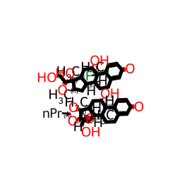 CCC[C@@H]1O[C@@H]2C[C@H]3[C@@H]4CCC5=CC(=O)C=C[C@]5(C)[C@H]4[C@@H](O)C[C@]3(C)[C@]2(C(=O)CO)O1.C[C@@H]1C[C@H]2[C@@H]3CCC4=CC(=O)C=C[C@]4(C)[C@@]3(F)[C@@H](O)C[C@]2(C)[C@@]1(O)C(=O)CO